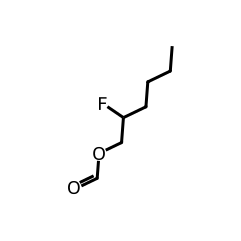 CCCCC(F)COC=O